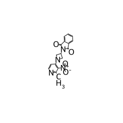 Cc1nccc(N2CC(N3C(=O)c4ccccc4C3=O)C2)c1[N+](=O)[O-]